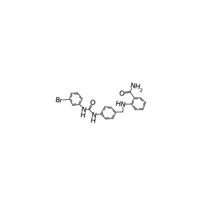 NC(=O)c1ccccc1NCc1ccc(NC(=O)Nc2cccc(Br)c2)cc1